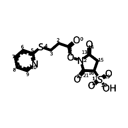 O=C(CCSc1ccccn1)ON1C(=O)CC(S(=O)(=O)O)C1=O